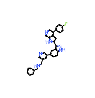 Fc1ccc(-c2cncc3[nH]c(-c4n[nH]c5ccc(-c6cncc(CNCc7ccccc7)c6)cc45)cc23)cc1